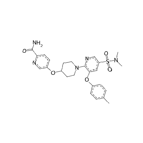 Cc1ccc(Oc2cc(S(=O)(=O)N(C)C)cnc2N2CCC(Oc3ccc(C(N)=O)nc3)CC2)cc1